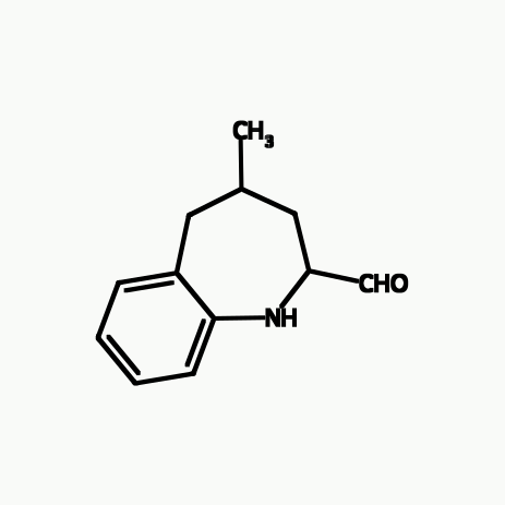 CC1Cc2ccccc2NC(C=O)C1